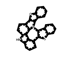 c1ccc2c(c1)oc1c3ccc4[nH]c5cccc6c7sc8ccccc8c7n(c21)c3c4c56